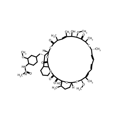 COC1CC(C[C@H]2C3CCCN4C(=O)C(=O)C5(O)O[C@@H](CCC5C)C[C@H](OC)/C(C)=C/C=C/C=C/[C@@H](C)CC(C)C(=O)[C@H](OC)C(O)/C(C)=C/C(C)C(=O)C[C@@H]2OC(=O)C34)CCC1N[PH](C)=O